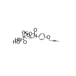 CC#CCOc1ccc(N2C[C@H](C[C@](C)(C(=O)NO)S(C)(=O)=O)OC2=O)cc1